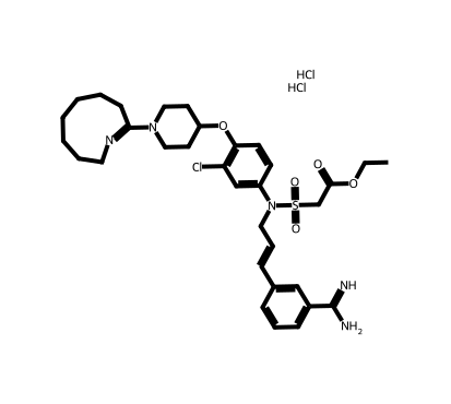 CCOC(=O)CS(=O)(=O)N(C/C=C/c1cccc(C(=N)N)c1)c1ccc(OC2CCN(/C3=N\CCCCCCC3)CC2)c(Cl)c1.Cl.Cl